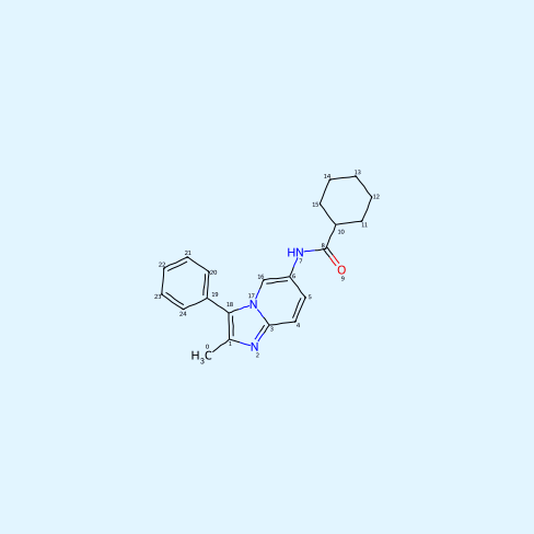 Cc1nc2ccc(NC(=O)C3CCCCC3)cn2c1-c1ccccc1